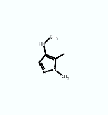 CNc1cnn(C)c1I